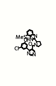 CSc1cccc2nc(C3CCCN3C(=O)c3cncnc3-c3cc(Cl)cc(Cl)c3)[nH]c12